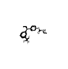 CCNC(=O)Oc1ccc([C](CC)c2cccc(C(F)(F)F)c2)cc1